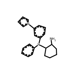 NC1CCCCC1N(c1ccccc1)c1cccc(-n2cccc2)c1